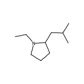 CCN1CCCC1C[C](C)C